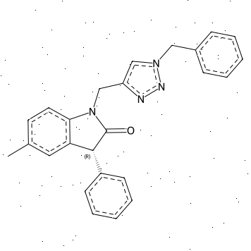 Cc1ccc2c(c1)[C@@H](c1ccccc1)C(=O)N2Cc1cn(Cc2ccccc2)nn1